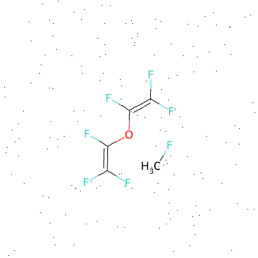 CF.FC(F)=C(F)OC(F)=C(F)F